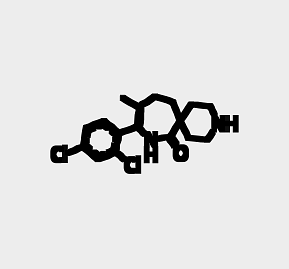 CC1=C(c2ccc(Cl)cc2Cl)NC(=O)C2(CCNCC2)CC1